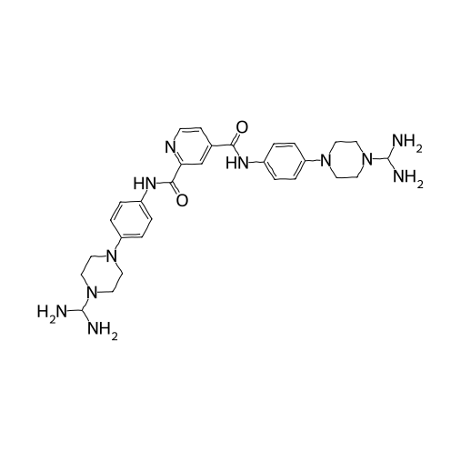 NC(N)N1CCN(c2ccc(NC(=O)c3ccnc(C(=O)Nc4ccc(N5CCN(C(N)N)CC5)cc4)c3)cc2)CC1